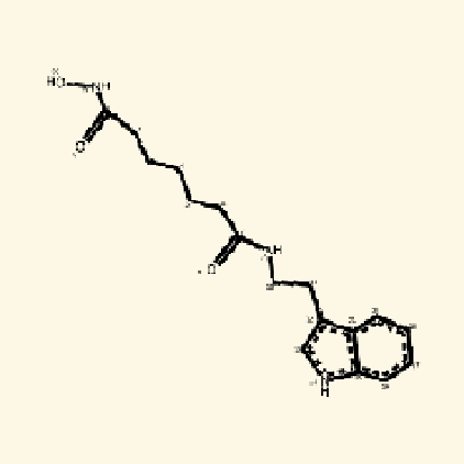 O=C(CCCCCC(=O)NCCc1c[nH]c2ccccc12)NO